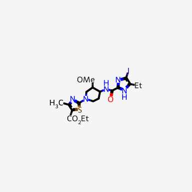 CCOC(=O)c1sc(N2CCC(NC(=O)c3nc(I)c(CC)[nH]3)C(OC)C2)nc1C